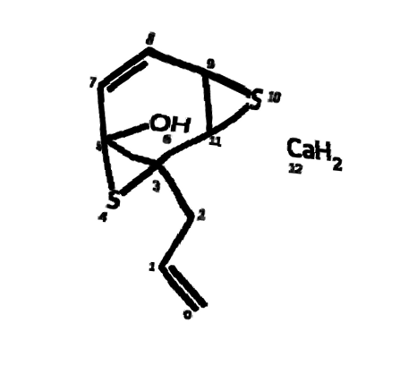 C=CCC12SC1(O)C=CC1SC12.[CaH2]